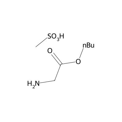 CCCCOC(=O)CN.CS(=O)(=O)O